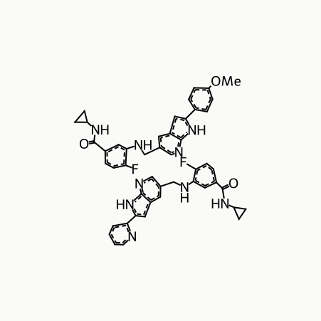 COc1ccc(-c2cc3cc(CNc4cc(C(=O)NC5CC5)ccc4F)cnc3[nH]2)cc1.O=C(NC1CC1)c1ccc(F)c(NCc2cnc3[nH]c(-c4ccccn4)cc3c2)c1